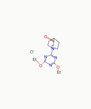 CCOc1nc(OCC)nc([N+]23CCC(CC2)C(=O)C3)n1.[Cl-]